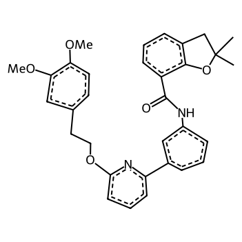 COc1ccc(CCOc2cccc(-c3cccc(NC(=O)c4cccc5c4OC(C)(C)C5)c3)n2)cc1OC